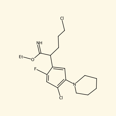 CCOC(=N)C(CCCCl)c1cc(N2CCCCC2)c(Cl)cc1F